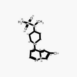 CN(C1CCN(c2ccnn3cc(Cl)cc23)CC1)S(N)(=O)=O